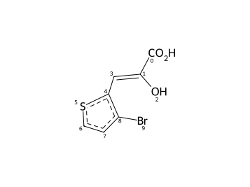 O=C(O)C(O)=Cc1sccc1Br